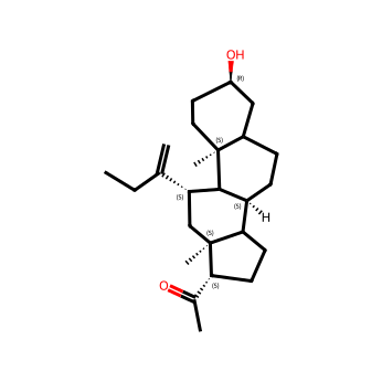 C=C(CC)[C@H]1C[C@@]2(C)C(CC[C@@H]2C(C)=O)[C@@H]2CCC3C[C@H](O)CC[C@]3(C)C21